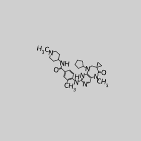 Cc1cc(C(=O)NC2CCN(C)CC2)ccc1Nc1ncc2c(n1)N(C1CCCC1)CC1(CC1)C(=O)N2C